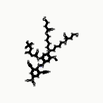 COc1cc(/N=N/c2c(C#N)cc([N+](=O)[O-])cc2C#N)c(OC(=O)CC(C)CC(C)(C)C)cc1N(CCCCOC(=O)CCCl)CCCCOC(=O)CCCl